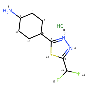 Cl.NC1CCC(c2nnc(C(F)F)s2)CC1